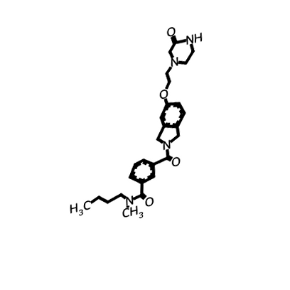 CCCCN(C)C(=O)c1cccc(C(=O)N2Cc3ccc(OCCN4CCNC(=O)C4)cc3C2)c1